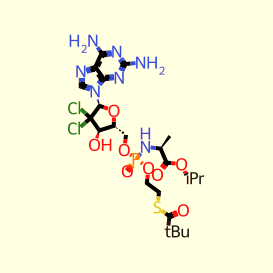 CC(C)OC(=O)[C@H](C)NP(=O)(OCCSC(=O)C(C)(C)C)OC[C@H]1O[C@@H](n2cnc3c(N)nc(N)nc32)C(Cl)(Cl)[C@@H]1O